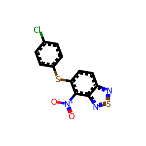 O=[N+]([O-])c1c(Sc2ccc(Cl)cc2)ccc2nsnc12